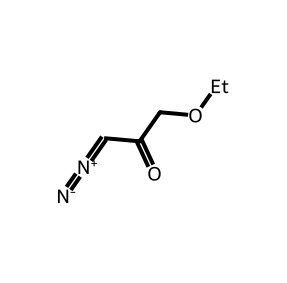 CCOCC(=O)C=[N+]=[N-]